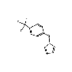 FC(F)(F)c1ccc(Sn2ccnc2)cc1